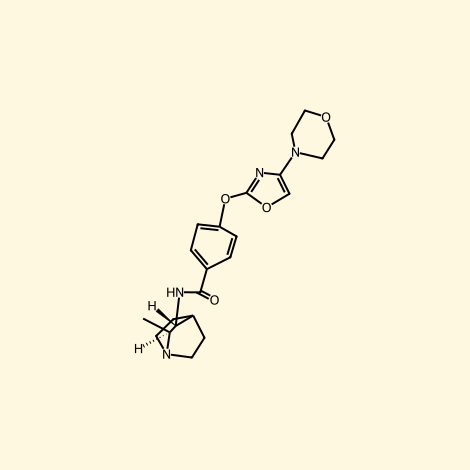 C[C@H]1[C@H](NC(=O)c2ccc(Oc3nc(N4CCOCC4)co3)cc2)C2CCN1CC2